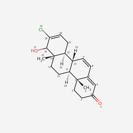 C[C@]12CCC(=O)C=C1C=C[C@@H]1[C@@H]2CC[C@]2(C)C(O)C(Cl)=CC[C@@H]12